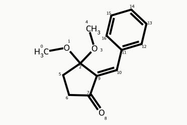 COC1(OC)CCC(=O)C1=Cc1ccccc1